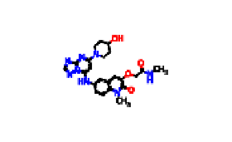 CNC(=O)COc1cc2cc(Nc3cc(N4CCC(O)CC4)nc4ncnn34)ccc2n(C)c1=O